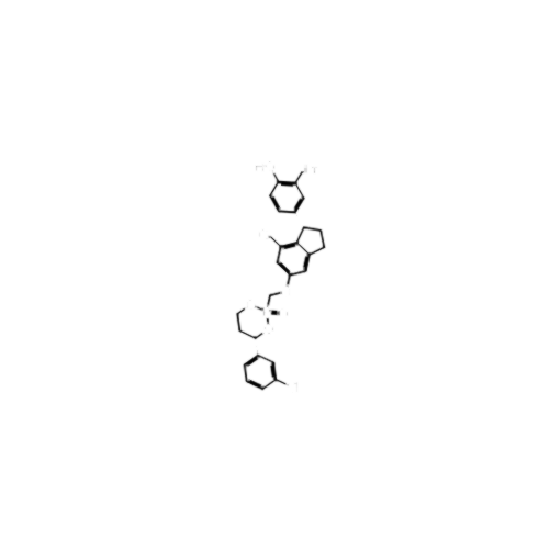 CC(C)c1cc([C@@H]2CCc3cc(OCP4(=O)OCC[C@@H](c5cccc(Cl)c5)O4)cc(Cl)c32)ccc1O